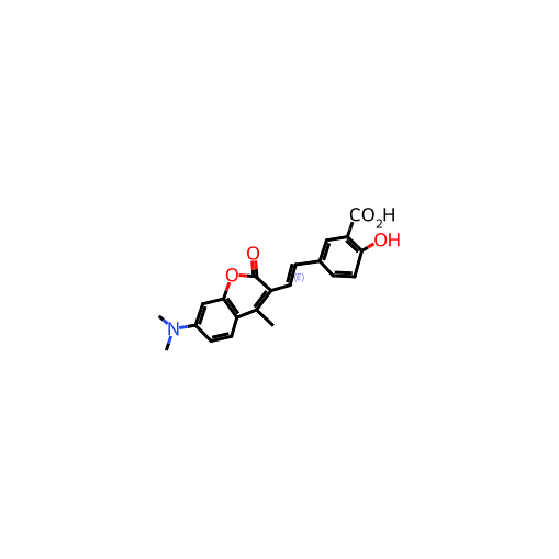 Cc1c(/C=C/c2ccc(O)c(C(=O)O)c2)c(=O)oc2cc(N(C)C)ccc12